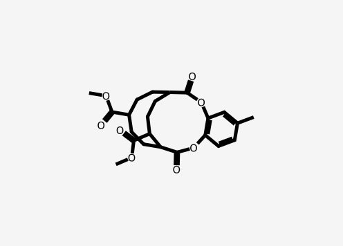 COC(=O)C1CCC2CCC(C(=O)OC)C(CC1)C(=O)Oc1ccc(C)cc1OC2=O